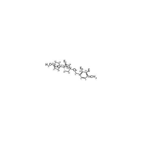 Cc1ccc(COC23C=C(F)C(C45CCC(C)(CC4)CC5)(CC2)CC3)c(F)c1F